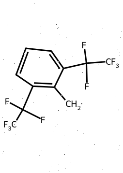 [CH2]c1c(C(F)(F)C(F)(F)F)cccc1C(F)(F)C(F)(F)F